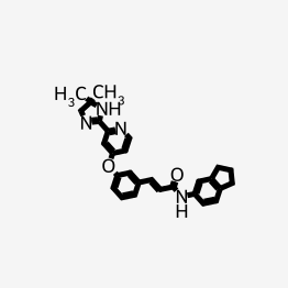 CC1(C)CN=C(c2cc(Oc3cccc(/C=C/C(=O)Nc4ccc5c(c4)CCC5)c3)ccn2)N1